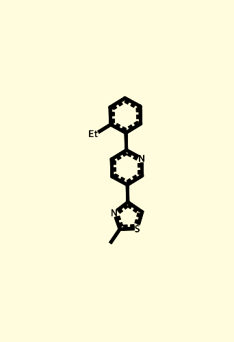 CCc1ccccc1-c1ccc(-c2csc(C)n2)cn1